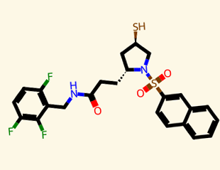 O=C(CC[C@@H]1C[C@@H](S)CN1S(=O)(=O)c1ccc2ccccc2c1)NCc1c(F)ccc(F)c1F